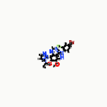 COc1cc2c(Nc3ccc(Br)cc3F)ncnc2cc1OC(C)n1ccnn1